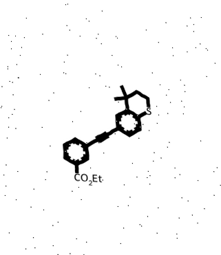 CCOC(=O)c1cccc(C#Cc2ccc3c(c2)C(C)(C)CCS3)c1